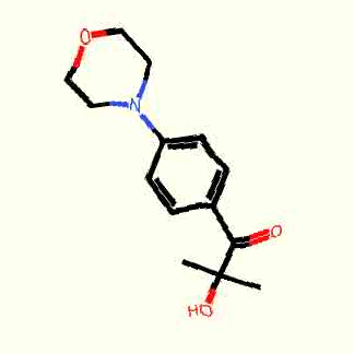 CC(C)(O)C(=O)c1ccc(N2CCOCC2)cc1